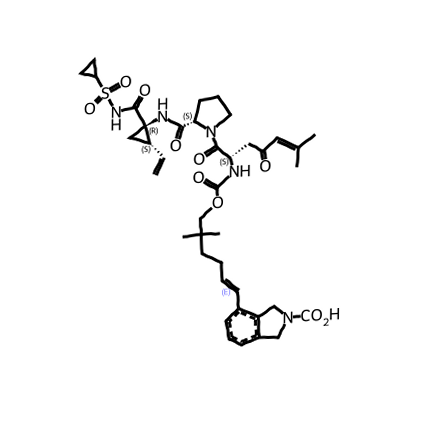 C=C[C@@H]1C[C@]1(NC(=O)[C@@H]1CCCN1C(=O)[C@H](CC(=O)C=C(C)C)NC(=O)OCC(C)(C)CC/C=C/c1cccc2c1CN(C(=O)O)C2)C(=O)NS(=O)(=O)C1CC1